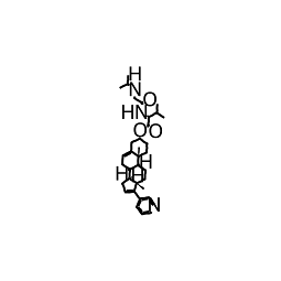 CC(C)NCC(=O)N[C@H](C(=O)O[C@H]1CC[C@@]2(C)C(=CC[C@@H]3[C@@H]2CC[C@]2(C)C(c4cccnc4)=CC[C@@H]32)C1)C(C)C